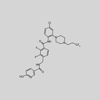 O=C(NCc1ccc(C(=O)Nc2ccc(Cl)cc2N2CCN(CCC(F)(F)F)CC2)c(F)c1F)c1ccc(O)nc1